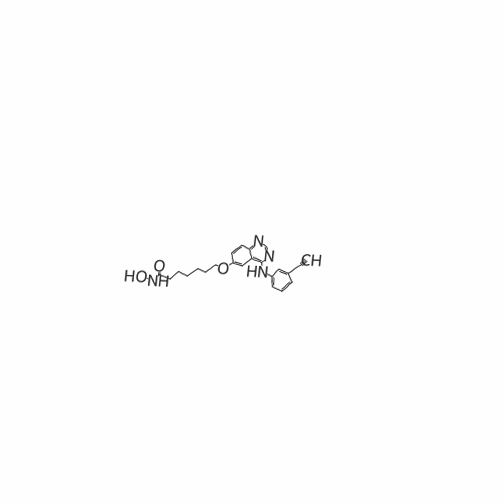 C#Cc1cccc(Nc2ncnc3ccc(OCCCCCCC(=O)NO)cc23)c1